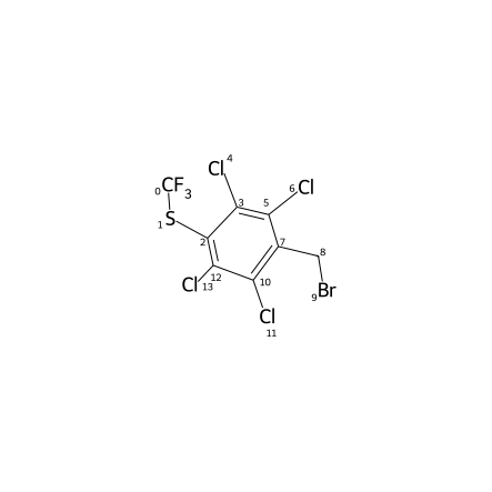 FC(F)(F)Sc1c(Cl)c(Cl)c(CBr)c(Cl)c1Cl